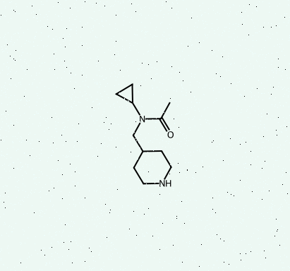 CC(=O)N(CC1CCNCC1)C1CC1